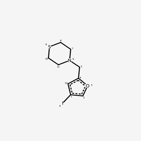 Ic1coc(CN2CCSCC2)c1